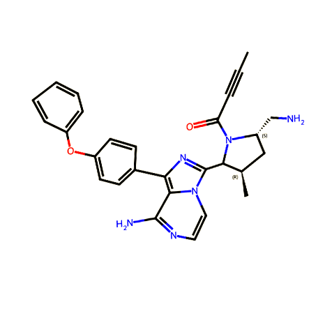 CC#CC(=O)N1C(c2nc(-c3ccc(Oc4ccccc4)cc3)c3c(N)nccn23)[C@H](C)C[C@H]1CN